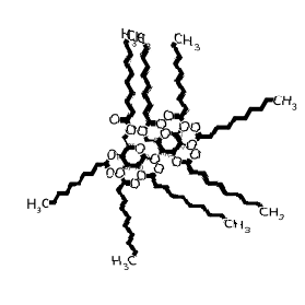 CCCCCCCCCC(=O)OC[C@H]1O[C@@H](O[C@H]2[C@H](OC(=O)CCCCCCCCC)[C@@H](OC(=O)CCCCCCCCC)[C@H](OC(=O)CCCCCCCCC)O[C@@H]2COC(=O)CCCCCCCCC)[C@H](OC(=O)CCCCCCCCC)[C@@H](OC(=O)CCCCCCCCC)[C@@H]1OC(=O)CCCCCCCCC